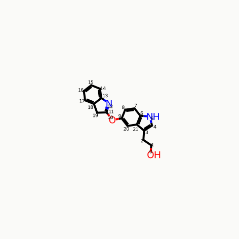 OCCc1c[nH]c2ccc(OC3=Nc4ccccc4C3)cc12